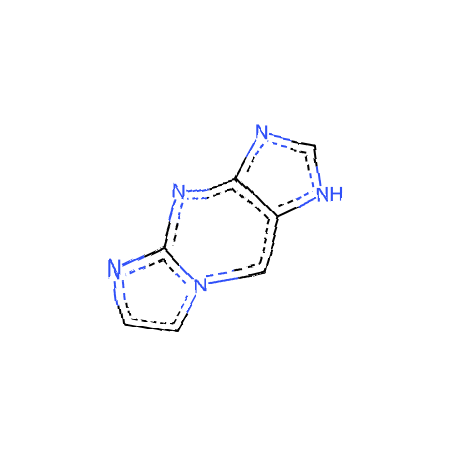 c1cn2cc3[nH]cnc3nc2n1